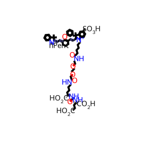 CCCCCN1/C(=C/C=C2\CCCC(/C=C/C3=[N+](CCCCCC(=O)NCCOCCOCC(=O)NCCCC[C@H](NC(=O)N[C@@H](CCC(=O)O)C(=O)O)C(=O)O)c4ccc(S(=O)(=O)O)cc4C3(C)C)=C2Oc2ccccc2)C(C)(C)c2ccccc21